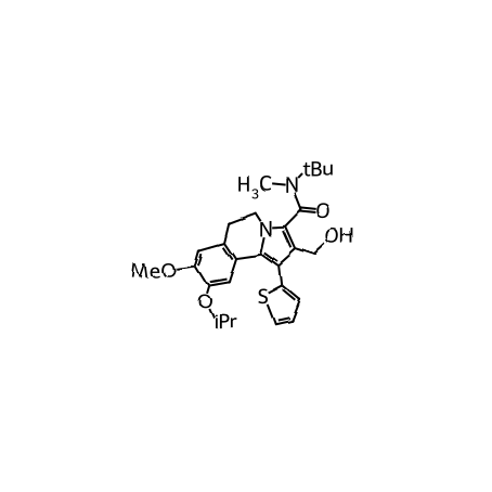 COc1cc2c(cc1OC(C)C)-c1c(-c3cccs3)c(CO)c(C(=O)N(C)C(C)(C)C)n1CC2